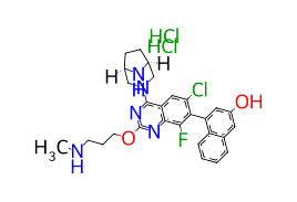 CNCCCOc1nc(N2C[C@H]3CC[C@@H](C2)N3)c2cc(Cl)c(-c3cc(O)cc4ccccc34)c(F)c2n1.Cl.Cl